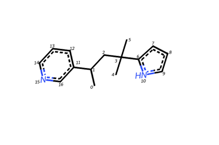 CC(CC(C)(C)c1ccc[nH]1)c1cccnc1